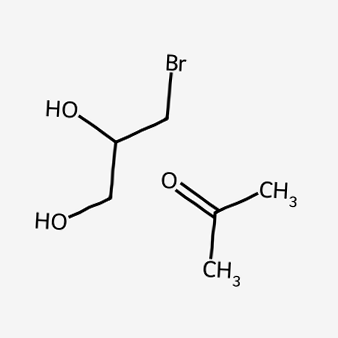 CC(C)=O.OCC(O)CBr